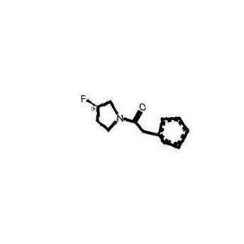 O=C(Cc1ccccc1)N1CC[C@@H](F)C1